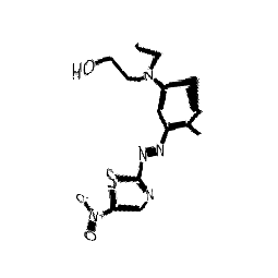 CCN(CCO)c1ccc(C)c(N=Nc2ncc([N+](=O)[O-])s2)c1